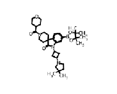 CC1(C)CCN([C@H]2C[C@@H](N3C(=O)C4(CCN(C(=O)C5CCOCC5)CC4)c4ccc(B5OC(C)(C)C(C)(C)O5)cc43)C2)C1